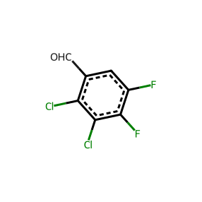 O=Cc1cc(F)c(F)c(Cl)c1Cl